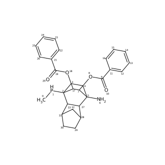 CPC12CCC(N)(C(OC(=O)c3ccccc3)C1OC(=O)c1ccccc1)C1C3CCC(C3)C12